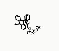 CCc1c2ccccc2c(C23CC4CC(CC(COC(=O)C(F)(F)SOOO)(C4)C2)C3)c2ccccc12